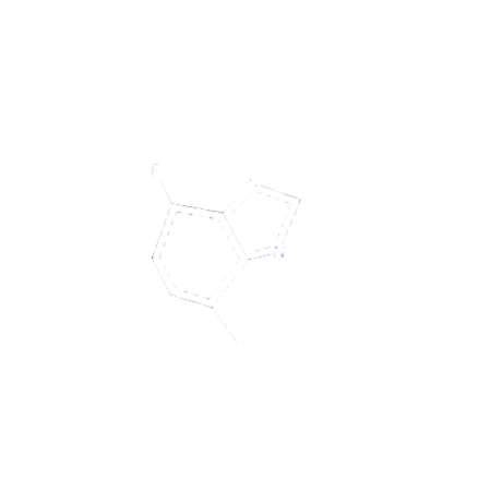 [CH2]c1ccc(F)c2scnc12